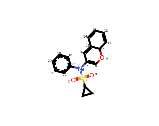 O=S(=O)(C1CC1)N(C1=COC2C=CC=CC2=C1)c1ccccc1